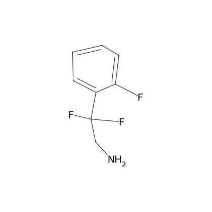 NCC(F)(F)c1ccccc1F